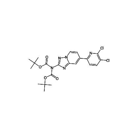 CC(C)(C)OC(=O)N(C(=O)OC(C)(C)C)c1nc2cc(-c3ccc(Cl)c(Cl)n3)ccn2n1